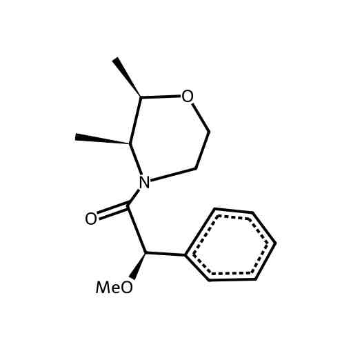 CO[C@@H](C(=O)N1CCO[C@H](C)[C@@H]1C)c1ccccc1